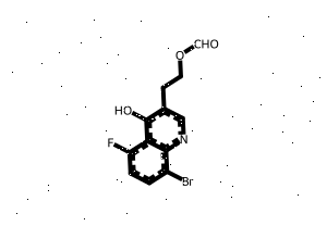 O=COCCc1cnc2c(Br)ccc(F)c2c1O